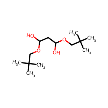 CC(C)(C)COC(O)CC(O)OCC(C)(C)C